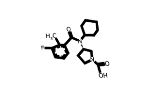 Cc1c(F)cccc1C(=O)N(C1CCCCC1)[C@H]1CCN(C(=O)O)C1